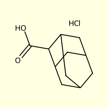 Cl.O=C(O)C1C2CC3CC(C2)CC1C3